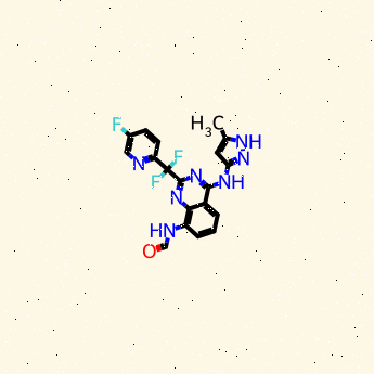 Cc1cc(Nc2nc(C(F)(F)c3ccc(F)cn3)nc3c(NC=O)cccc23)n[nH]1